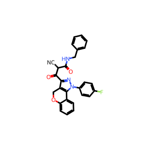 N#CC(C(=O)NCc1ccccc1)C(=O)c1nn(-c2ccc(F)cc2)c2c1COc1ccccc1-2